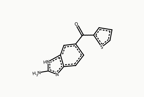 Nc1nc2ccc(C(=O)c3cccs3)cc2[nH]1